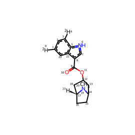 [2H]c1cc([2H])c2[nH]cc(C(=O)OC3CC4CC[C@H](C3)N4C)c2c1